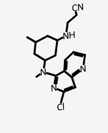 CC1CC(NCCC#N)CC(N(C)c2nc(Cl)cc3ncccc23)C1